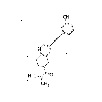 CN(C)C(=O)N1CCc2ncc(C#Cc3cccc(C#N)c3)cc2C1